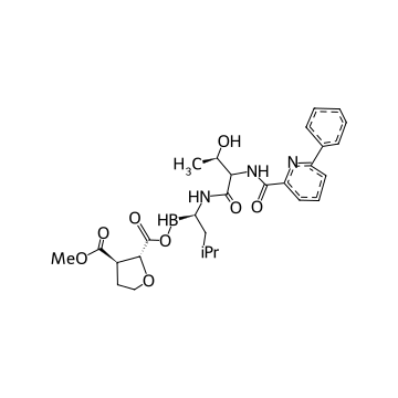 COC(=O)[C@@H]1CCO[C@H]1C(=O)OB[C@H](CC(C)C)NC(=O)C(NC(=O)c1cccc(-c2ccccc2)n1)[C@@H](C)O